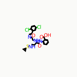 O=C(O)c1ccccc1NC(=O)C(CCNSC1CC1)NCc1ncc(-c2cc(Cl)ccc2Cl)o1